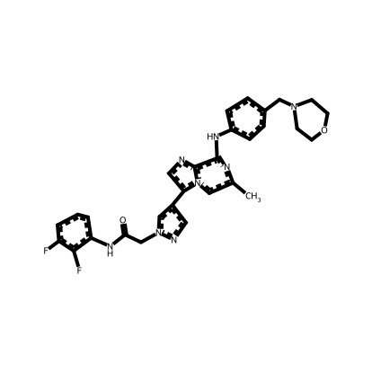 Cc1cn2c(-c3cnn(CC(=O)Nc4cccc(F)c4F)c3)cnc2c(Nc2ccc(CN3CCOCC3)cc2)n1